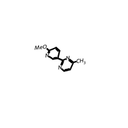 COc1ccc(-c2nccc(C)n2)cn1